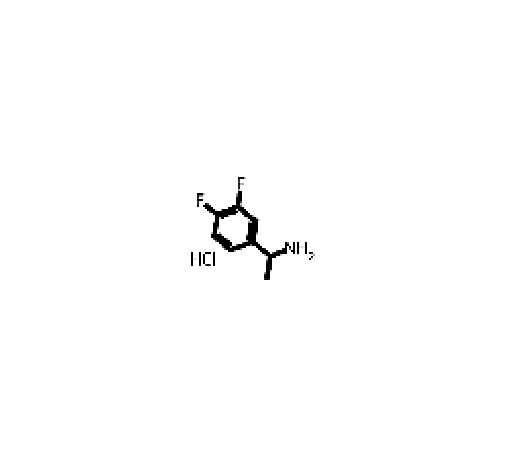 CC(N)c1ccc(F)c(F)c1.Cl